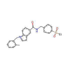 CCS(=O)(=O)c1ccc(CNC(=O)c2ccc3c(ccn3Cc3ccccc3C)c2)cc1